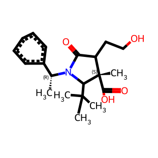 C[C@H](c1ccccc1)N1C(=O)C(CCO)[C@](C)(C(=O)O)C1C(C)(C)C